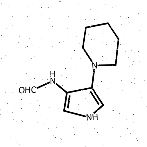 O=CNc1c[nH]cc1N1CCCCC1